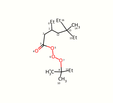 CCC(CC(=O)OOOC(C)(C)CC)CC(C)(CC)CC